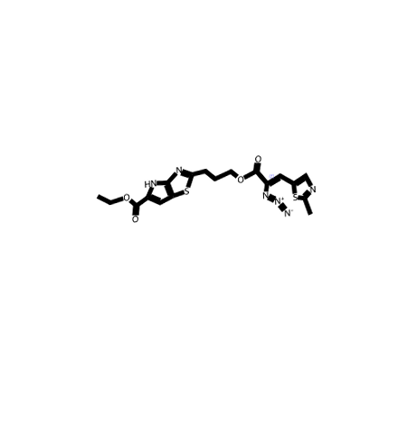 CCOC(=O)c1cc2sc(CCCOC(=O)/C(=C/c3cnc(C)s3)N=[N+]=[N-])nc2[nH]1